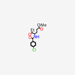 CCC(=O)C(CCC(=O)OC)NC(=O)c1ccc(Cl)cc1